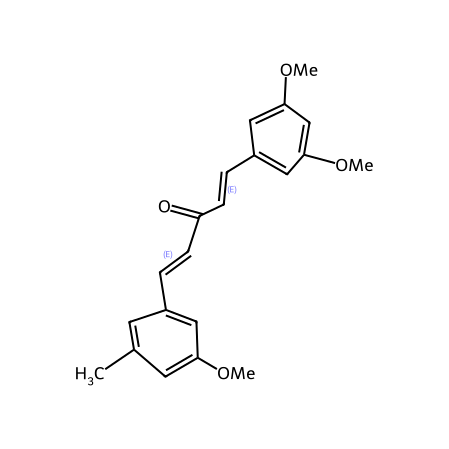 COc1cc(C)cc(/C=C/C(=O)/C=C/c2cc(OC)cc(OC)c2)c1